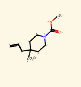 C=CCC1(C(=O)OCC)CCN(C(=O)OC(C)(C)C)CC1